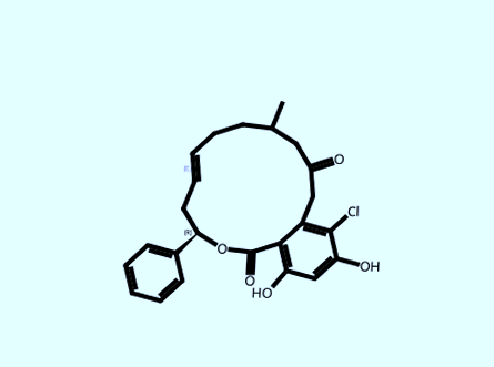 CC1CC/C=C/C[C@H](c2ccccc2)OC(=O)c2c(O)cc(O)c(Cl)c2CC(=O)C1